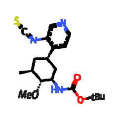 CO[C@@H]1[C@@H](C)C[C@@H](c2ccncc2N=C=S)C[C@H]1NC(=O)OC(C)(C)C